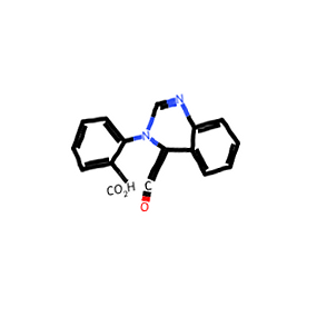 O=C=C1c2ccccc2N=CN1c1ccccc1C(=O)O